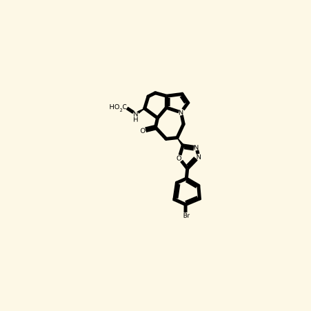 O=C(O)N[C@H]1CCc2ccn3c2C1C(=O)C[C@H](c1nnc(-c2ccc(Br)cc2)o1)C3